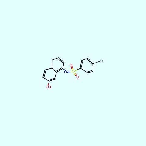 CCc1ccc(S(=O)(=O)Nc2cccc3ccc(O)cc23)cc1